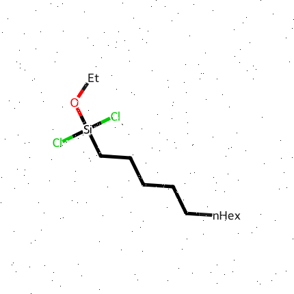 CCCCCCCCCCC[Si](Cl)(Cl)OCC